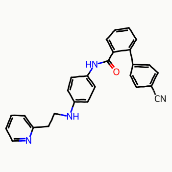 N#Cc1ccc(-c2ccccc2C(=O)Nc2ccc(NCCc3ccccn3)cc2)cc1